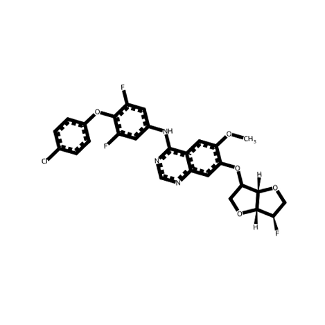 COc1cc2c(Nc3cc(F)c(Oc4ccc(Cl)cc4)c(F)c3)ncnc2cc1OC1CO[C@H]2[C@H](F)CO[C@@H]12